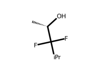 CC(C)C(F)(F)[C@H](C)O